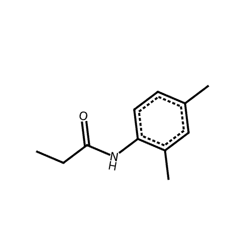 CCC(=O)Nc1ccc(C)cc1C